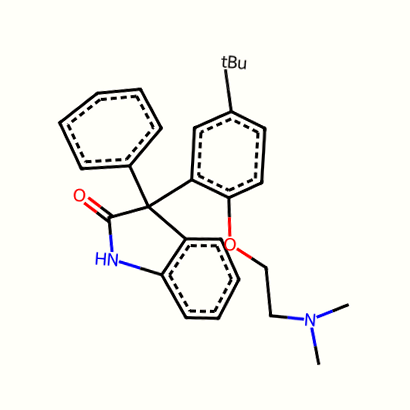 CN(C)CCOc1ccc(C(C)(C)C)cc1C1(c2ccccc2)C(=O)Nc2ccccc21